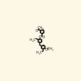 CCc1cc(Cc2ccc(OC(=O)c3cccc(C(C)=O)c3)c(CC)c2)ccc1OC